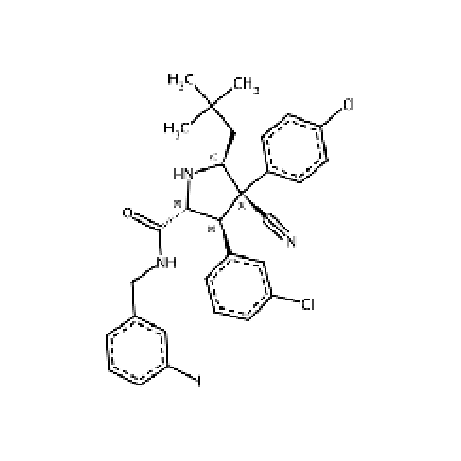 CC(C)(C)C[C@@H]1N[C@@H](C(=O)NCc2cccc(I)c2)[C@H](c2cccc(Cl)c2)[C@@]1(C#N)c1ccc(Cl)cc1